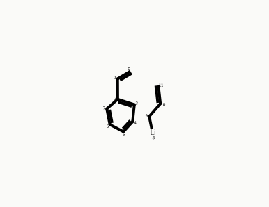 C=Cc1ccccc1.[Li][CH2]C=C